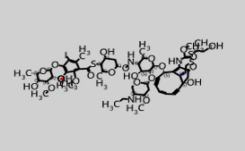 CCN[C@H]1CO[C@@H](O[C@H]2[C@H](O[C@H]3C#CC=CC#C[C@]4(O)CC(=O)C(NC(=O)OC)=C3/C4=C\CSS[C@H](C)CO)O[C@H](C)[C@@H](NO[C@H]3C[C@H](O)[C@H](SC(=O)c4c(C)c(I)c(O[C@@H]5O[C@@H](C)[C@H](O)[C@@H](OC)[C@H]5O)c(OC)c4OC)[C@@H](C)O3)[C@@H]2O)C[C@@H]1OC